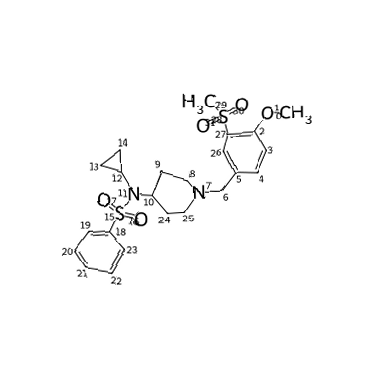 COc1ccc(CN2CCC(N(C3CC3)S(=O)(=O)c3ccccc3)CC2)cc1S(C)(=O)=O